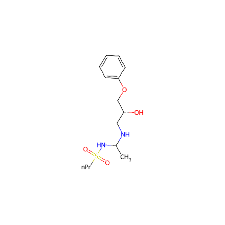 CCCS(=O)(=O)NC(C)NCC(O)COc1ccccc1